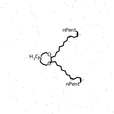 CCCCC/C=C\C/C=C\CCCCCCCC1OCCCN(C)CCOC1CCCCCCC/C=C\C/C=C\CCCCC